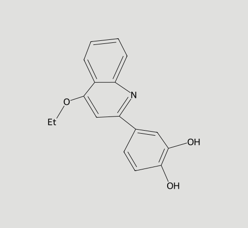 CCOc1cc(-c2ccc(O)c(O)c2)nc2ccccc12